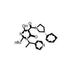 CCCCc1nc(O)c(C(=O)N2CC[C@H](c3ccccc3)C2)c(=O)n1C(C)c1ccncc1